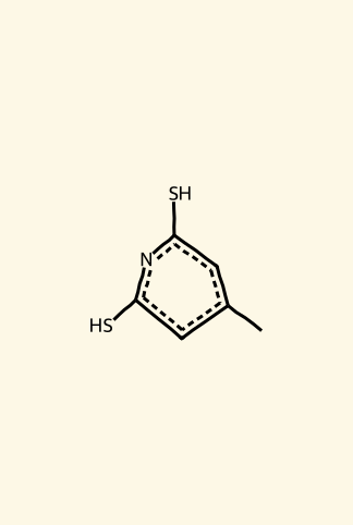 Cc1cc(S)nc(S)c1